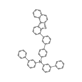 c1ccc(-c2cccc(N(c3ccc(-c4cccc(-c5cccc6c5sc5ccc7ccccc7c56)c4)cc3)c3cccc(-c4ccccc4)c3)c2)cc1